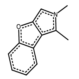 Cc1c2c(cn1C)oc1ccccc12